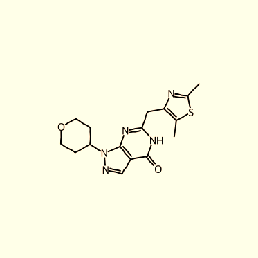 Cc1nc(Cc2nc3c(cnn3C3CCOCC3)c(=O)[nH]2)c(C)s1